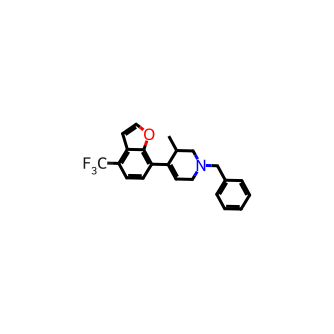 CC1CN(Cc2ccccc2)CC=C1c1ccc(C(F)(F)F)c2ccoc12